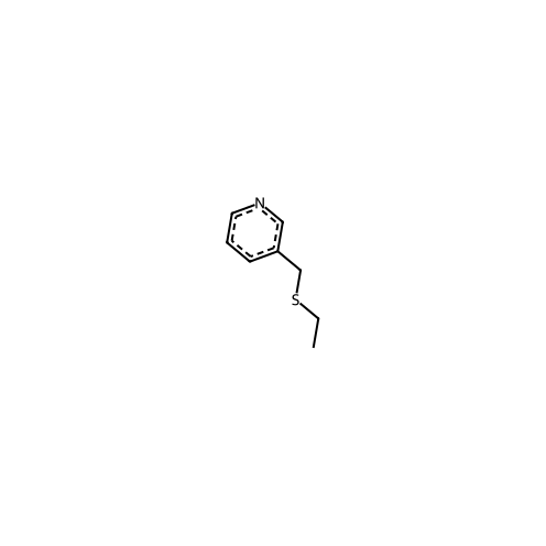 CCSCc1cccnc1